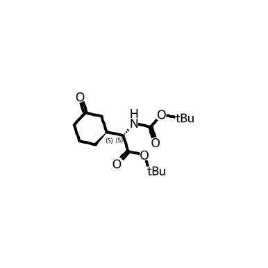 CC(C)(C)OC(=O)N[C@H](C(=O)OC(C)(C)C)[C@H]1CCCC(=O)C1